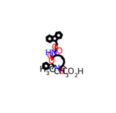 C[C@H]1[C@@H](c2ccccc2)OC(=O)[C@@H](NC(=O)OCC2c3ccccc3-c3ccccc32)CC=CC[C@@H](CC(=O)O)C(=O)N1C